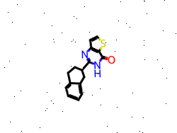 O=c1[nH]c(C2CCc3ccccc3C2)nc2ccsc12